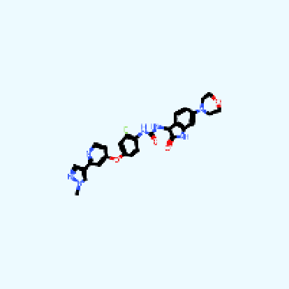 Cn1cc(-c2cc(Oc3ccc(NC(=O)NC4C(=O)Nc5cc(N6CCOCC6)ccc54)c(F)c3)ccn2)cn1